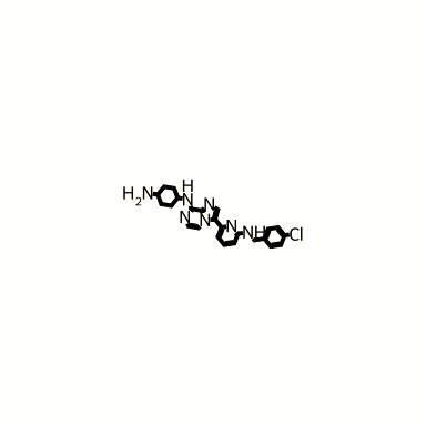 NC1CCC(Nc2nccn3c(-c4cccc(NCc5ccc(Cl)cc5)n4)cnc23)CC1